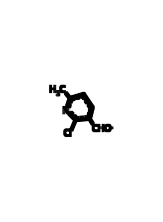 Cc1ccc([C]=O)c(Cl)n1